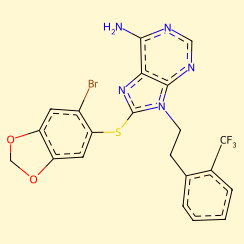 Nc1ncnc2c1nc(Sc1cc3c(cc1Br)OCO3)n2CCc1ccccc1C(F)(F)F